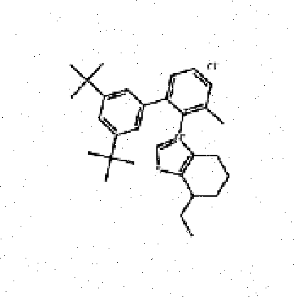 CCC1CCCc2c1sc[n+]2-c1c(C)cccc1-c1cc(C(C)(C)C)cc(C(C)(C)C)c1.[Cl-]